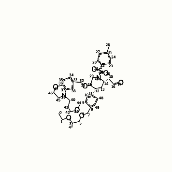 CCOC(C)COCc1ccc([C@H]2C[C@@H](CC=O)N(S(=O)(=O)c3ccc(C)cc3)C[C@@H]2OCc2ccc3c(c2)N(CCCOC)CCO3)cc1